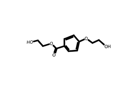 O=C(OCCO)c1ccc(OCCO)cc1